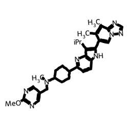 COc1ncc(CN(C)C2CCC(c3ccc4[nH]c(-c5cn6ncnc6c(C)c5C)c(C(C)C)c4n3)CC2)cn1